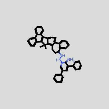 CC1(C)c2c(ccc3c2CCC(NNN2C=C(c4ccccc4)C=C(c4ccccc4)C2N)c2ccccc2-3)-c2c1c1ccccc1c1ccccc21